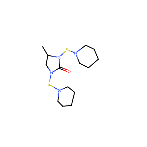 CC1CN(SN2CCCCC2)C(=O)N1SN1CCCCC1